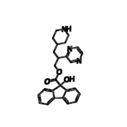 O=C(OCC(CC1CCNCC1)c1cnccn1)C1(O)c2ccccc2-c2ccccc21